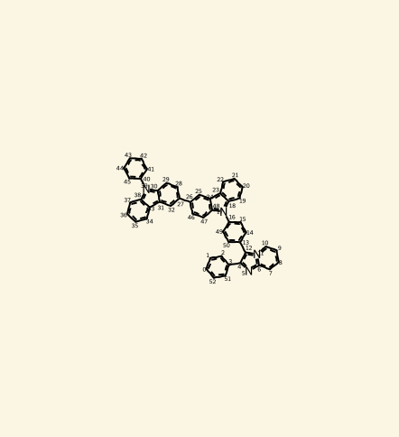 c1ccc(-c2nc3ccccn3c2-c2ccc(-n3c4ccccc4c4cc(-c5ccc6c(c5)c5ccccc5n6-c5ccccc5)ccc43)cc2)cc1